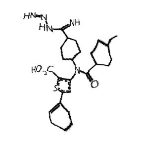 CC1CCC(C(=O)N(c2cc(C3=CCCCC3)sc2C(=O)O)C2CCC(C(=N)NN=N)CC2)CC1